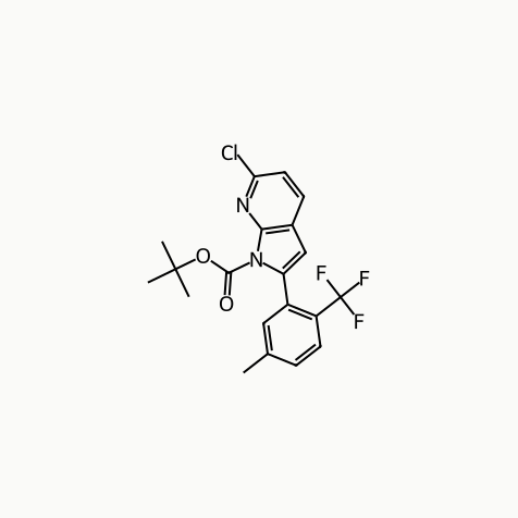 Cc1ccc(C(F)(F)F)c(-c2cc3ccc(Cl)nc3n2C(=O)OC(C)(C)C)c1